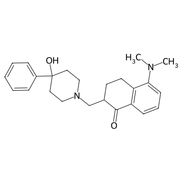 CN(C)c1cccc2c1CCC(CN1CCC(O)(c3ccccc3)CC1)C2=O